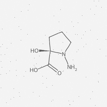 NN1CCC[C@@]1(O)C(=O)O